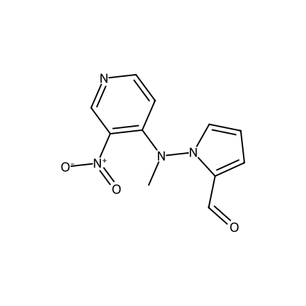 CN(c1ccncc1[N+](=O)[O-])n1cccc1C=O